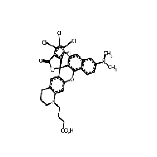 CN(C)c1ccc2c3c(ccc2c1)C1(OC(=O)c2c(Cl)c(Cl)c(Cl)c(Cl)c21)c1cc2c(cc1O3)N(CCCC(=O)O)CCC2